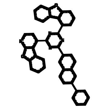 c1ccc(-c2ccc3cc(-c4nc(-c5cccc6oc7ccccc7c56)nc(-c5ccnc6oc7ccccc7c56)n4)ccc3c2)cc1